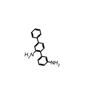 Nc1cccc(-c2ccc(-c3ccccc3)cc2N)c1